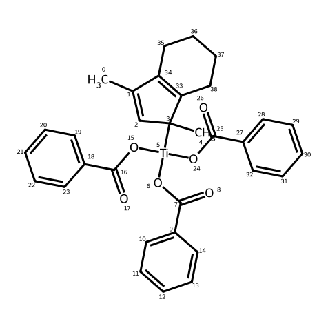 CC1=C[C](C)([Ti]([O]C(=O)c2ccccc2)([O]C(=O)c2ccccc2)[O]C(=O)c2ccccc2)C2=C1CCCC2